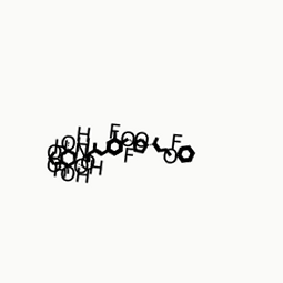 C/C(=C\c1ccc(O[C@@H]2O[C@H](/C(C)=C/COc3ccccc3F)C[C@@H]2F)c(F)c1)C(=O)N[C@@H]1[C@H](O)[C@@H](O)[C@H]2OCO[C@H]2[C@@H]1O